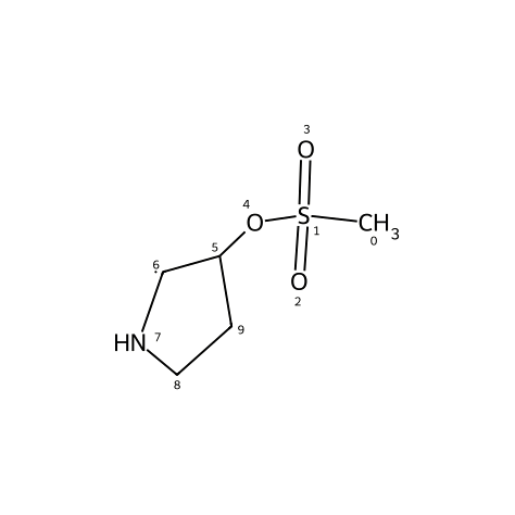 CS(=O)(=O)OC1[CH]NCC1